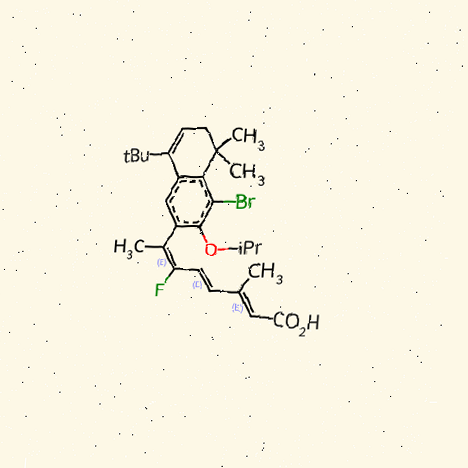 CC(/C=C/C(F)=C(/C)c1cc2c(c(Br)c1OC(C)C)C(C)(C)CC=C2C(C)(C)C)=C\C(=O)O